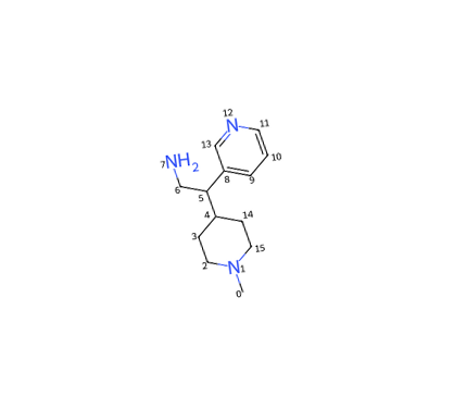 CN1CCC(C(CN)c2cccnc2)CC1